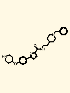 O=C(NCCC1CCN(Cc2ccccc2)CC1)c1ccc(-c2ccc(OC3CCNCC3)cc2)s1